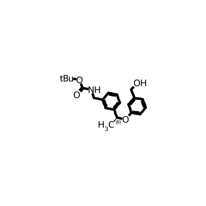 C[C@@H](Oc1cccc(CO)c1)c1cccc(CNC(=O)OC(C)(C)C)c1